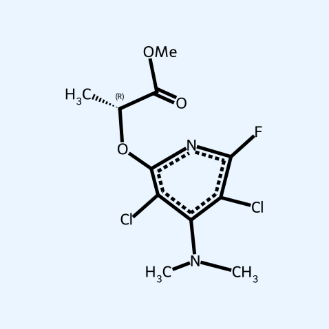 COC(=O)[C@@H](C)Oc1nc(F)c(Cl)c(N(C)C)c1Cl